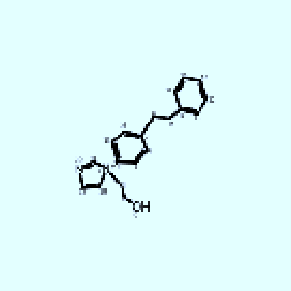 OCC[N+]1(c2ccc(CCc3ccccc3)cc2)C=CN=C1